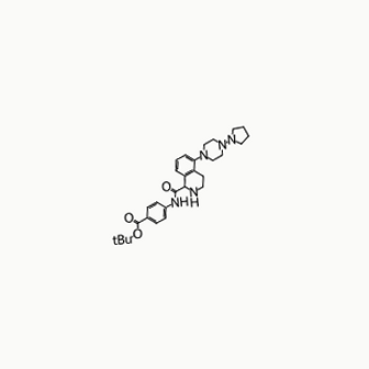 CC(C)(C)OC(=O)c1ccc(NC(=O)C2NCCc3c2cccc3N2CCN(N3CCCC3)CC2)cc1